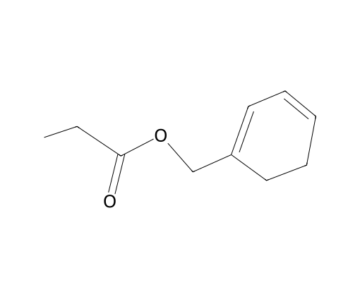 CCC(=O)OCC1=CC=CCC1